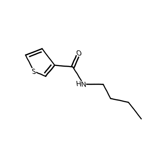 CCCCNC(=O)c1ccsc1